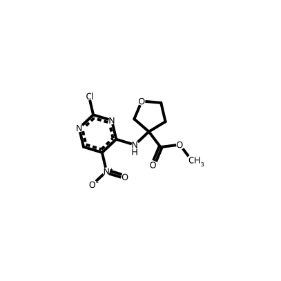 COC(=O)C1(Nc2nc(Cl)ncc2[N+](=O)[O-])CCOC1